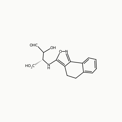 O=CC(O)[C@H](Nc1onc2c1CCc1ccccc1-2)C(=O)O